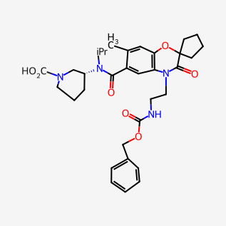 Cc1cc2c(cc1C(=O)N(C(C)C)[C@@H]1CCCN(C(=O)O)C1)N(CCNC(=O)OCc1ccccc1)C(=O)C1(CCCC1)O2